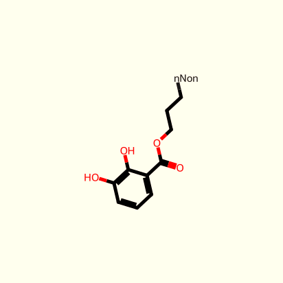 CCCCCCCCCCCCOC(=O)c1cccc(O)c1O